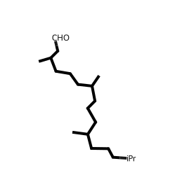 CC(C)CCCC(C)CCCC(C)CCCC(C)CC=O